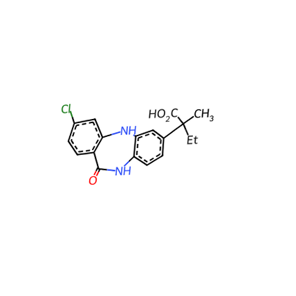 CCC(C)(C(=O)O)c1ccc2c(c1)Nc1cc(Cl)ccc1C(=O)N2